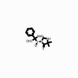 CNC(C=O)(c1ccccc1)[S+]([O-])N1CNC(C)(C)C1=S